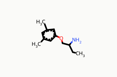 CCC(N)COc1cc(C)cc(C)c1